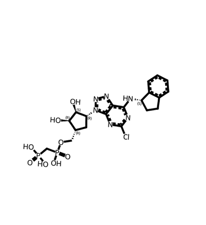 O=P(O)(O)CP(=O)(O)OC[C@H]1C[C@@H](n2nnc3c(N[C@H]4CCc5ccccc54)nc(Cl)nc32)[C@H](O)[C@@H]1O